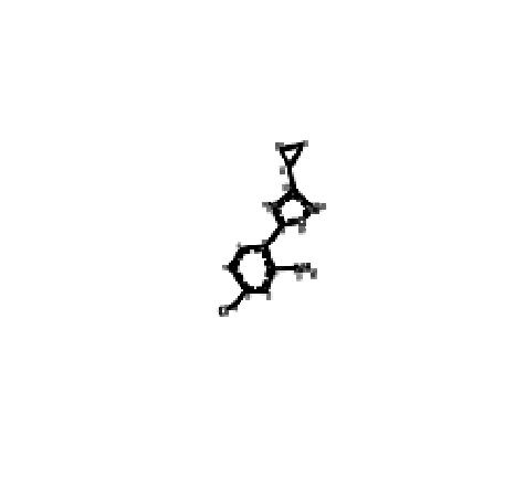 Nc1cc(Cl)ccc1-c1nc(C2CC2)no1